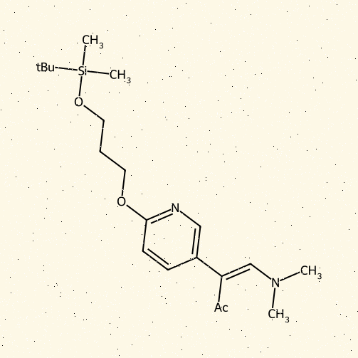 CC(=O)/C(=C\N(C)C)c1ccc(OCCCO[Si](C)(C)C(C)(C)C)nc1